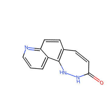 O=C1C=Cc2ccc3ncccc3c2NN1